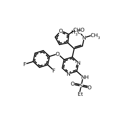 CCS(=O)(=O)Nc1ncc(Oc2ccc(F)cc2F)c(/C(=C/N(C)C)c2ccoc2C=O)n1